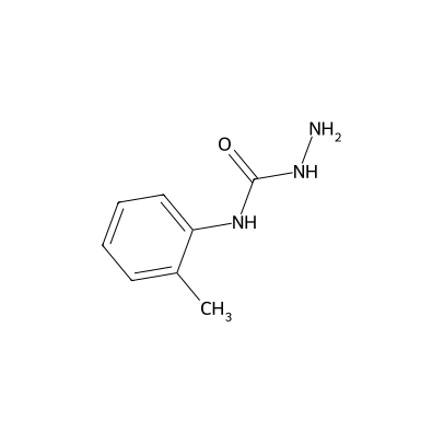 Cc1ccccc1NC(=O)NN